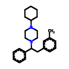 Cc1cccc(CC(c2ccccc2)N2CCN(C3CCCCC3)CC2)c1